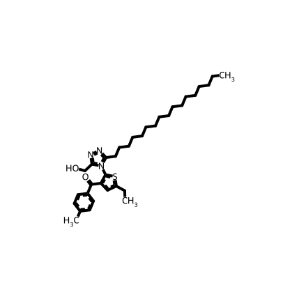 CCCCCCCCCCCCCCCCCc1nnc(CO)n1-c1sc(CC)cc1C(=O)c1ccc(C)cc1